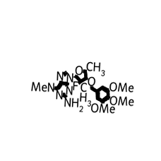 CNc1nc(N)nc2c1ncn2[C@@H]1O[C@H](C)[C@@H](OCc2cc(OC)c(OC)c(OC)c2)[C@@]1(C)F